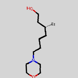 CC[C@@H](CCO)CCCCN1CCOCC1